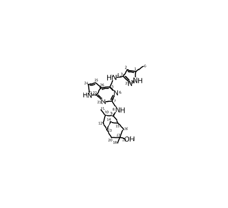 Cc1cc(Nc2nc(NC3C(C)CC4CC3CC(C)(O)C4)nc3[nH]ccc23)n[nH]1